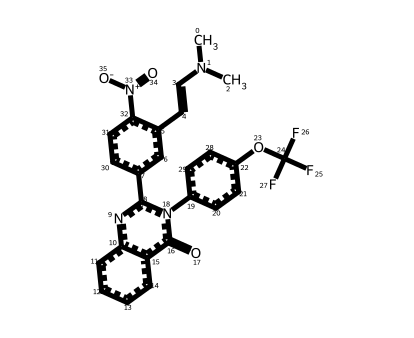 CN(C)C=Cc1cc(-c2nc3ccccc3c(=O)n2-c2ccc(OC(F)(F)F)cc2)ccc1[N+](=O)[O-]